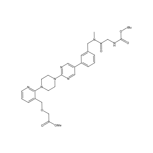 COC(=O)COCc1cccnc1N1CCN(c2ncc(-c3cccc(CN(C)C(=O)CNC(=O)OC(C)(C)C)c3)cn2)CC1